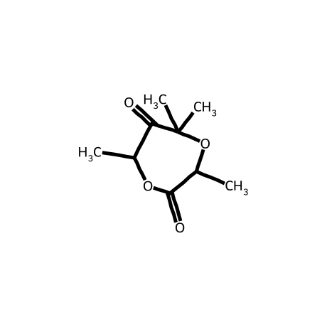 CC1OC(C)(C)C(=O)C(C)OC1=O